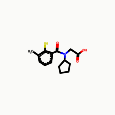 Cc1cccc(C(=O)N(CC(=O)O)C2CCCC2)c1S